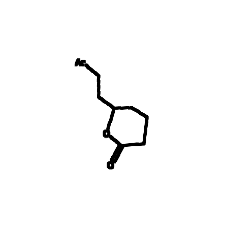 CC(=O)CCC1CCCC(=O)O1